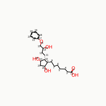 O=C(O)CCCCCC[C@@H]1[C@@H](CCC(O)COc2ccccc2)[C@H](O)C[C@@H]1O